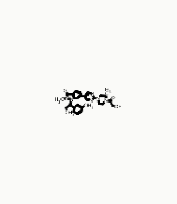 CCC(c1cccc(C)c1)n1c2cc(-c3cnc(N4CCN(C(=O)CO)C(C)C4)nc3)ccc2c(=O)n1C